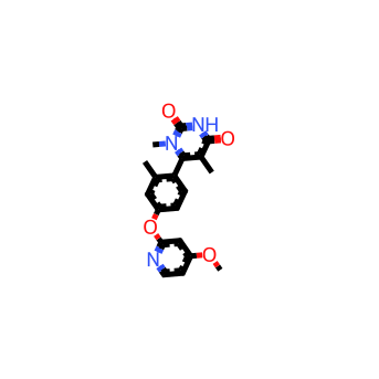 COc1ccnc(Oc2ccc(-c3c(C)c(=O)[nH]c(=O)n3C)c(C)c2)c1